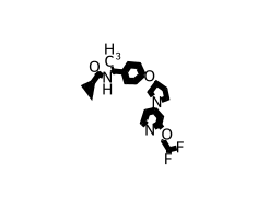 C[C@H](NC(=O)C1CC1)c1ccc(O[C@@H]2CCN(c3ccnc(OCC(F)F)c3)C2)cc1